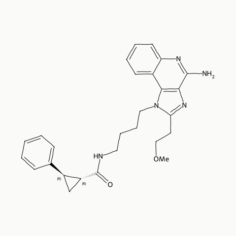 COCCc1nc2c(N)nc3ccccc3c2n1CCCCNC(=O)[C@@H]1C[C@H]1c1ccccc1